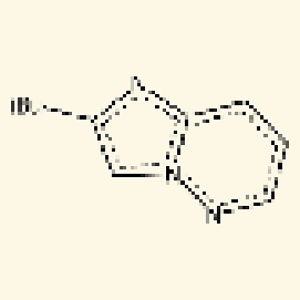 CCC(C)c1cn2ncccc2n1